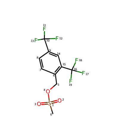 CS(=O)(=O)OCc1ccc(C(F)(F)F)cc1C(F)(F)F